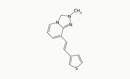 CN1CN2C=CC=C(C=Cc3ccsc3)C2=N1